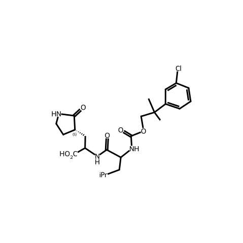 CC(C)CC(NC(=O)OCC(C)(C)c1cccc(Cl)c1)C(=O)NC(C[C@@H]1CCNC1=O)C(=O)O